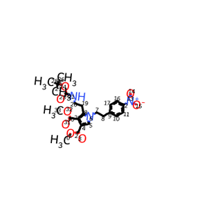 COC(=O)c1cn(CCc2ccc([N+](=O)[O-])cc2)c(CCNC(=O)OC(C)(C)C)c1C(=O)OC